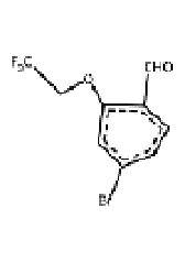 O=Cc1ccc(Br)cc1OCC(F)(F)F